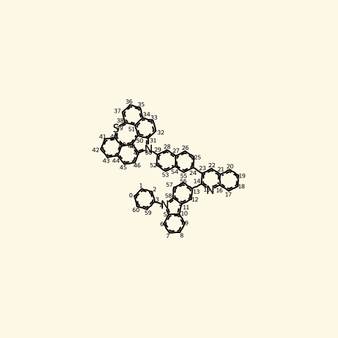 c1ccc(-n2c3ccccc3c3cc(-c4nc5ccccc5cc4-c4ccc5cc(-n6c7ccc8cccc9sc%10cccc%11ccc6c(c%11%10)c7c89)ccc5c4)ccc32)cc1